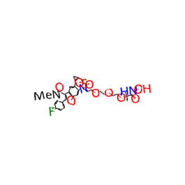 CNC(=O)c1c(-c2ccc(F)cc2)oc2cc(N(CCOCCOCCOC(C)(C)C(=O)NO)S(C)(=O)=O)c(C3CC3)cc12